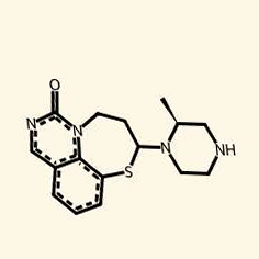 C[C@H]1CNCCN1C1CCn2c(=O)ncc3cccc(c32)S1